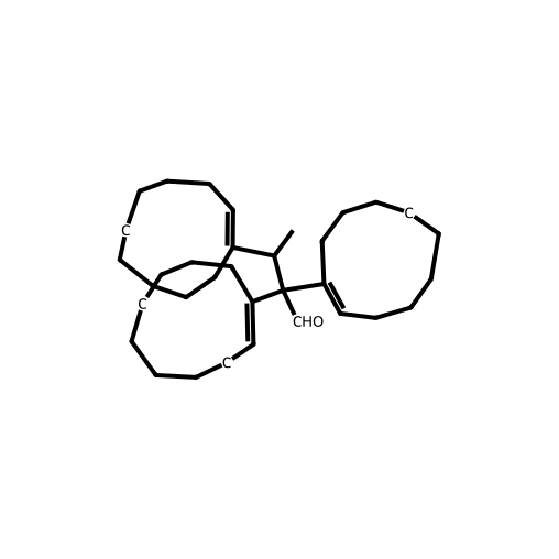 CC(C1=CCCCCCCCC1)C(C=O)(C1=CCCCCCCCC1)C1=CCCCCCCCC1